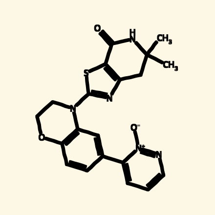 CC1(C)Cc2nc(N3CCOc4ccc(-c5cccn[n+]5[O-])cc43)sc2C(=O)N1